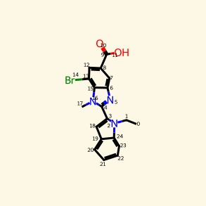 CCn1c(-c2nc3cc(C(=O)O)cc(Br)c3n2C)cc2ccccc21